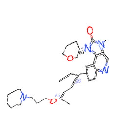 C=C/C(=C\C=C(/C)OCCCN1CCCCC1)c1ccc2ncc3c(c2c1)n([C@H]1CCCOC1)c(=O)n3C